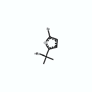 CCCCC(C)(C)c1ccc(Br)o1